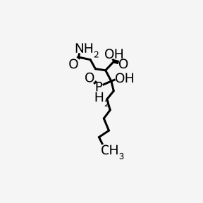 CCCCCCCC(O)([PH2]=O)C(CCC(N)=O)C(=O)O